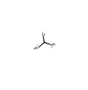 CCC[C](CC)CCC